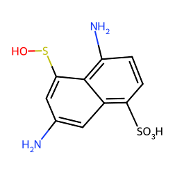 Nc1cc(SO)c2c(N)ccc(S(=O)(=O)O)c2c1